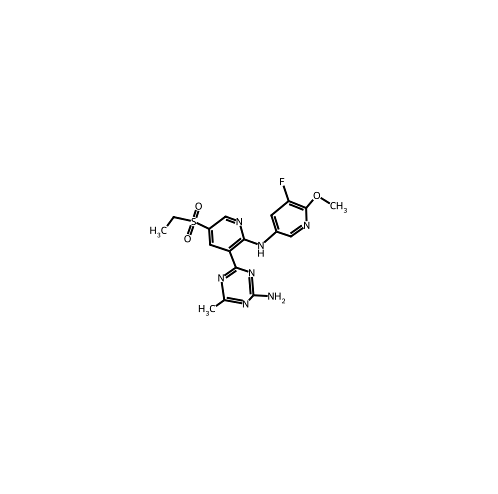 CCS(=O)(=O)c1cnc(Nc2cnc(OC)c(F)c2)c(-c2nc(C)nc(N)n2)c1